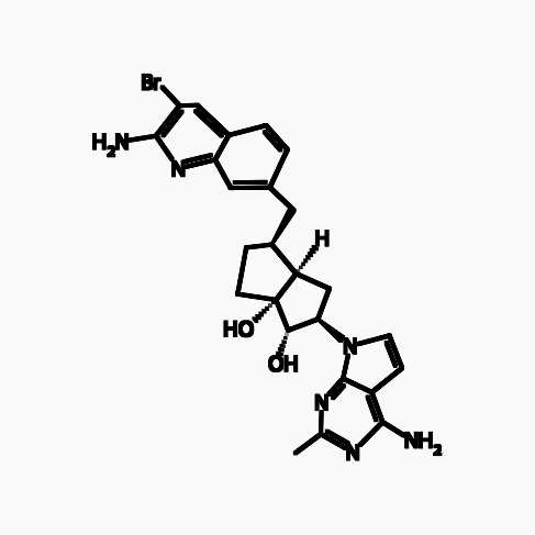 Cc1nc(N)c2ccn([C@@H]3C[C@@H]4[C@H](Cc5ccc6cc(Br)c(N)nc6c5)CC[C@]4(O)[C@H]3O)c2n1